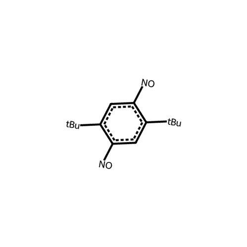 CC(C)(C)c1cc(N=O)c(C(C)(C)C)cc1N=O